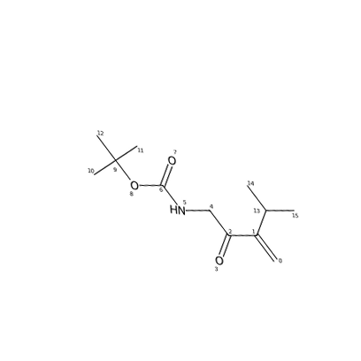 C=C(C(=O)CNC(=O)OC(C)(C)C)C(C)C